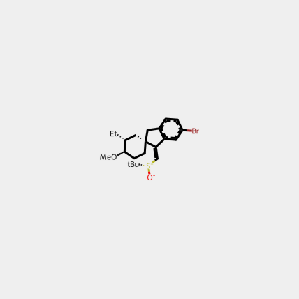 CC[C@@H]1C[C@]2(CC[C@H]1OC)Cc1ccc(Br)cc1/C2=C/[S@+]([O-])C(C)(C)C